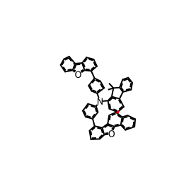 CC1(C)c2ccccc2-c2cccc(N(c3ccc(-c4cccc5c4oc4ccccc45)cc3)c3cccc(-c4cccc5oc6c7ccccc7ccc6c45)c3)c21